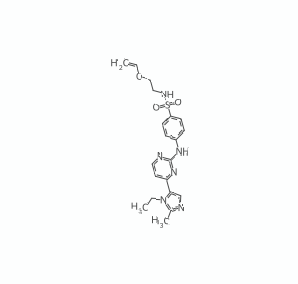 C=COCCNS(=O)(=O)c1ccc(Nc2nccc(-c3cnc(C)n3CC)n2)cc1